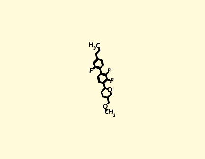 CCCc1ccc(-c2ccc(C3CCC(COC)CO3)c(F)c2F)c(F)c1